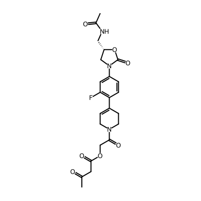 CC(=O)CC(=O)OCC(=O)N1CC=C(c2ccc(N3C[C@H](CNC(C)=O)OC3=O)cc2F)CC1